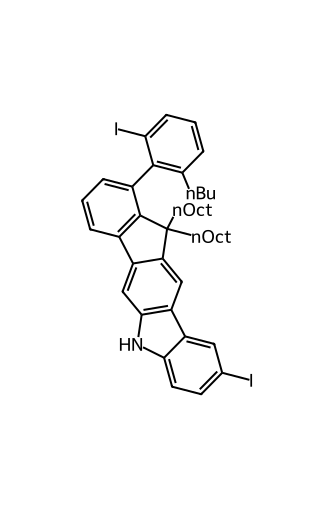 CCCCCCCCC1(CCCCCCCC)c2cc3c(cc2-c2cccc(-c4c(I)cccc4CCCC)c21)[nH]c1ccc(I)cc13